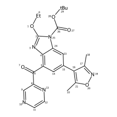 CCOc1nc2c(C(=O)c3cnccn3)cc(-c3c(C)noc3C)cc2n1C(=O)OC(C)(C)C